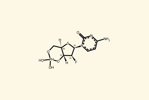 Nc1ccn([C@@H]2S[C@@H]3CO[PH](O)(O)O[C@H]3[C@@H]2F)c(=O)n1